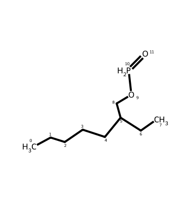 CCCCCC(CC)CO[PH2]=O